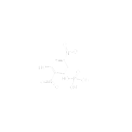 O=P(O)(O)O.O=[N+]([O-])c1ccc(I(=O)=O)c(O)c1